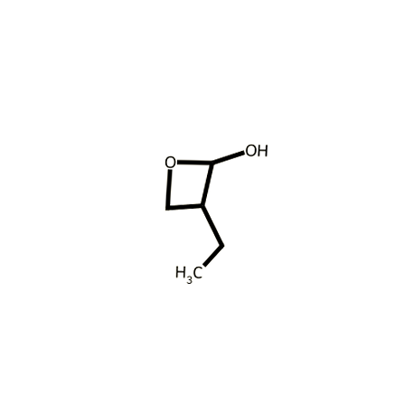 CCC1COC1O